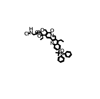 CCc1c2c(nc3ccc(O[Si](c4ccccc4)(c4ccccc4)C(C)(C)C)cc13)-c1cc3c(c(=O)n1C2)COC(=O)[C@@]3(CC)OC(=O)CNCl